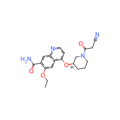 CCOc1cc2c(O[C@@H]3CCCN(C(=O)CC#N)C3)ccnc2cc1C(N)=O